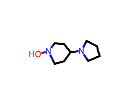 ON1CCC(N2CCCC2)CC1